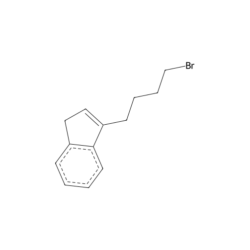 BrCCCCC1=CCc2ccccc21